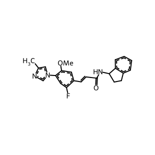 COc1cc(C=CC(=O)NC2CCc3ccccc32)c(F)cc1-n1cnc(C)c1